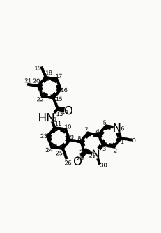 Cc1cc2c(cn1)cc(-c1cc(NC(=O)c3ccc(C)c(C)c3)ccc1C)c(=O)n2C